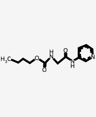 CCCCOC(=O)NCC(=O)Nc1cccnc1